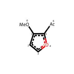 COc1ccoc1C(C)=O